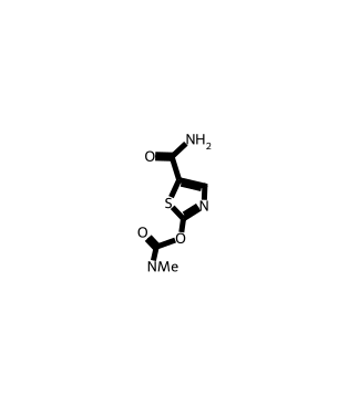 CNC(=O)Oc1ncc(C(N)=O)s1